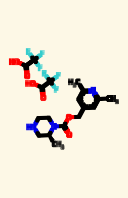 Cc1cc(COC(=O)N2CCNC[C@@H]2C)cc(C)n1.O=C(O)C(F)(F)F.O=C(O)C(F)(F)F